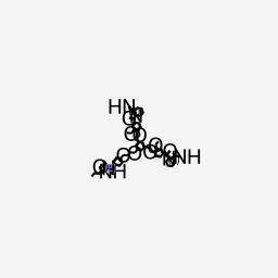 CCCC(=O)N/N=C(\C)c1ccc(OCCOc2cc(COc3ccc(C(=O)N4CCCC[C@H]4C=N)cc3OC)cc(COc3ccc(C(=O)N4CCCC[C@H]4C=N)cc3OC)c2)cc1